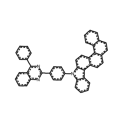 c1ccc(-c2nc(-c3ccc(-n4c5ccccc5c5c6ccc7ccc8ccccc8c7c6ccc54)cc3)nc3ccccc23)cc1